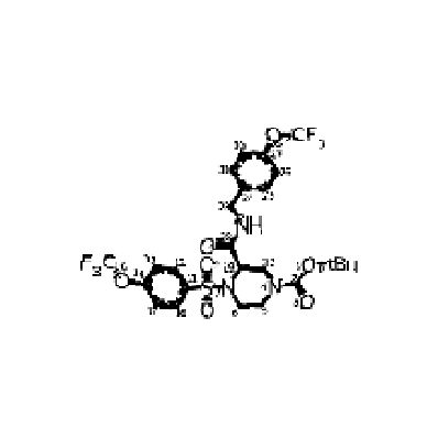 CC(C)(C)OC(=O)N1CCN(S(=O)(=O)c2ccc(OC(F)(F)F)cc2)C(C(=O)NCc2ccc(OC(F)(F)F)cc2)C1